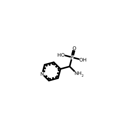 NC(c1ccncc1)P(=O)(O)O